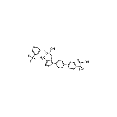 Cc1noc(-c2ccc(-c3ccc(C4(C(=O)O)CC4)cc3)cc2)c1CC(O)OCc1cccc(C(F)(F)F)c1